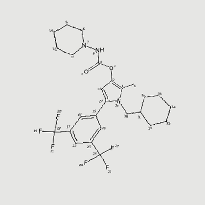 Cc1c(OC(=O)NN2CCCCC2)cc(-c2cc(C(F)(F)F)cc(C(F)(F)F)c2)n1CC1CCCCC1